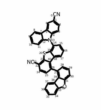 N#Cc1ccc2c(c1)c1ccccc1n2-c1cccc2c1sc1c(C#N)ccc(-c3cccc4oc5ccccc5c34)c12